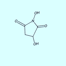 O=C1CC(O)C(=O)N1O